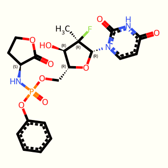 C[C@@]1(F)[C@H](O)[C@@H](COP(=O)(N[C@H]2CCOC2=O)Oc2ccccc2)O[C@H]1n1ccc(=O)[nH]c1=O